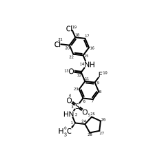 C[C@@H](NS(=O)(=O)c1ccc(F)c(C(=O)Nc2ccc(Cl)c(Cl)c2)c1)C1CCCC1